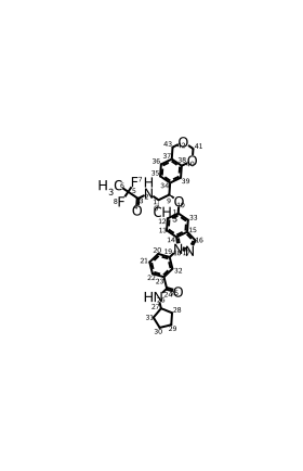 C[C@H](NC(=O)C(C)(F)F)[C@H](Oc1ccc2c(cnn2-c2cccc(C(=O)NC3CCCC3)c2)c1)c1ccc2c(c1)OCOC2